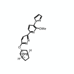 COc1nc(-c2ccc(O[C@@H]3C[C@H]4CC[C@@H](C3)N4)nn2)ccc1-n1cccn1